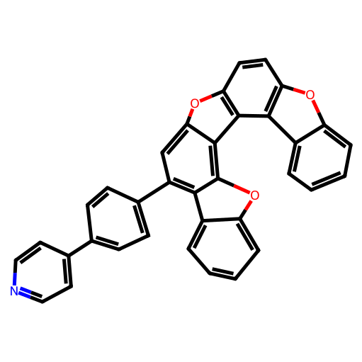 c1ccc2c(c1)oc1c2c(-c2ccc(-c3ccncc3)cc2)cc2oc3ccc4oc5ccccc5c4c3c21